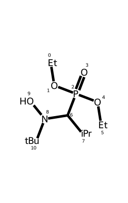 CCOP(=O)(OCC)C(C(C)C)N(O)C(C)(C)C